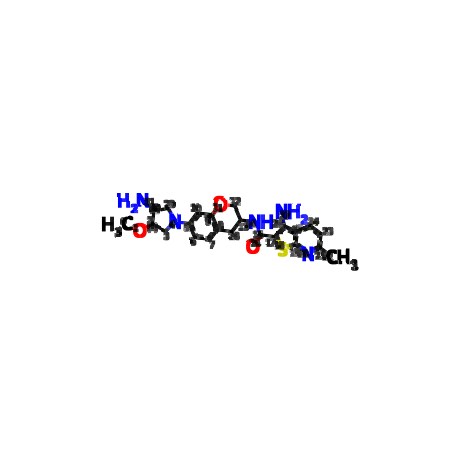 CO[C@@H]1CN(c2ccc3c(c2)OCC(NC(=O)c2sc4nc(C)ccc4c2N)C3)C[C@H]1N